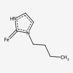 CCCCn1cc[nH][c]1=[Fe]